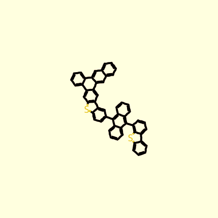 c1ccc2cc3c(cc2c1)c1ccccc1c1cc2sc4ccc(-c5c6ccccc6c(-c6cccc7c6sc6ccccc67)c6ccccc56)cc4c2cc31